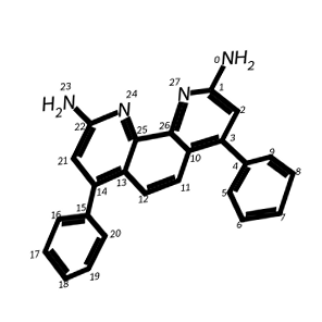 Nc1cc(-c2ccccc2)c2ccc3c(-c4ccccc4)cc(N)nc3c2n1